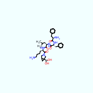 CC(C)C[C@@H](NC(=O)[C@@H](Cc1ccccc1)NC(=O)[C@H](N)Cc1ccccc1)C(=O)N[C@H](CCCCN)C(=O)N1CC2CC2(B(O)O)C1